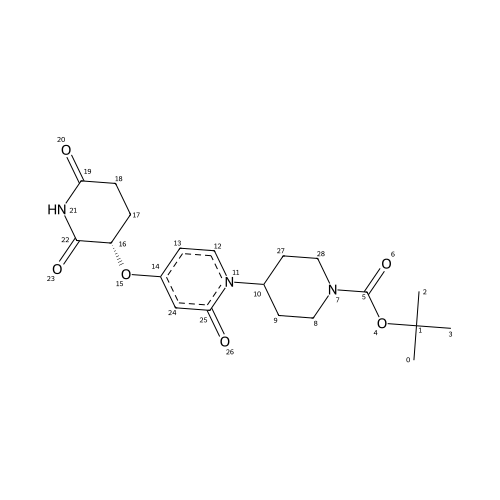 CC(C)(C)OC(=O)N1CCC(n2ccc(O[C@H]3CCC(=O)NC3=O)cc2=O)CC1